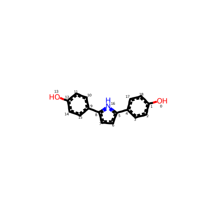 Oc1ccc(-c2ccc(-c3ccc(O)cc3)[nH]2)cc1